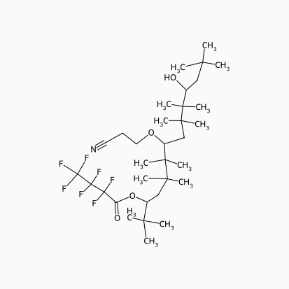 CC(C)(C)CC(O)C(C)(C)C(C)(C)CC(OCCC#N)C(C)(C)C(C)(C)CC(OC(=O)C(F)(F)C(F)(F)C(F)(F)F)C(C)(C)C